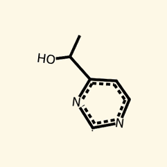 CC(O)c1ccn[c]n1